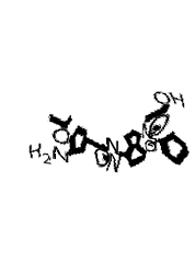 CC(C)Oc1ccc(-c2nc(-c3cccc4c3CC[C@@H]4N(CCO)S(=O)(=O)C3=CC=CCC3)no2)cc1N